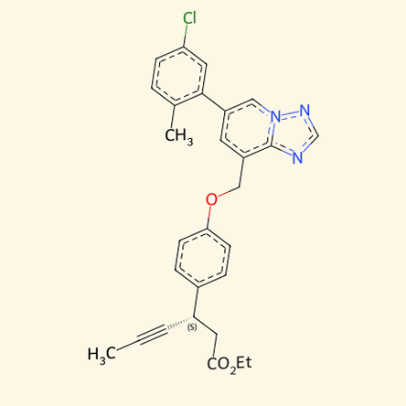 CC#C[C@@H](CC(=O)OCC)c1ccc(OCc2cc(-c3cc(Cl)ccc3C)cn3ncnc23)cc1